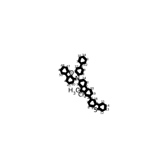 CC1(C)c2cc(-c3ccc4sc5ccccc5c4c3)ccc2-c2ccc(N(c3ccc(-c4ccccc4)cc3)c3cccc4c3oc3ccccc34)cc21